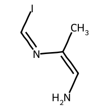 CC(=C/N)/N=C\I